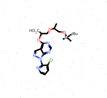 CC(CO[Si](C)(C)C(C)(C)C)OCC(Oc1ncnc2c1cnn2-c1ncccc1Cl)C(=O)O